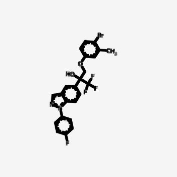 Cc1cc(OCC(O)(c2ccc3c(cnn3-c3ccc(F)cc3)c2)C(F)(F)F)ccc1Br